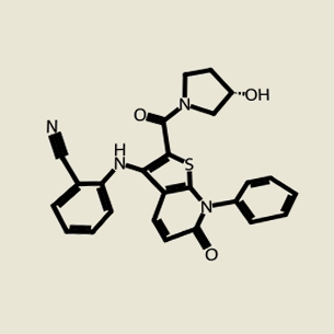 N#Cc1ccccc1Nc1c(C(=O)N2CC[C@H](O)C2)sc2c1ccc(=O)n2-c1ccccc1